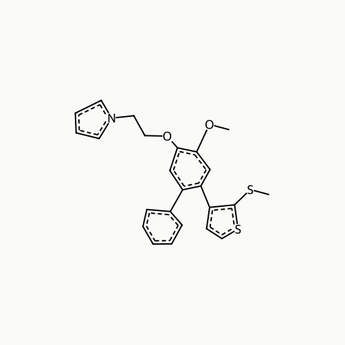 COc1cc(-c2ccsc2SC)c(-c2ccccc2)cc1OCCn1cccc1